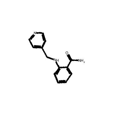 NC(=O)c1ccccc1NCc1ccncc1